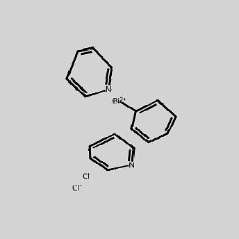 [Bi+2][c]1ccccc1.[Cl-].[Cl-].c1ccncc1.c1ccncc1